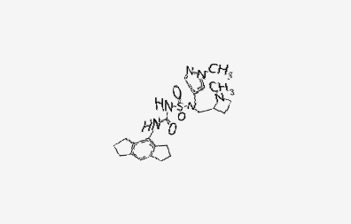 CN1CCC1CN(c1cnn(C)c1)S(=O)(=O)NC(=O)Nc1c2c(cc3c1CCC3)CCC2